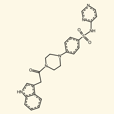 O=C(Cc1c[nH]c2ccccc12)N1CCN(c2ccc(S(=O)(=O)Nc3ccncn3)cc2)CC1